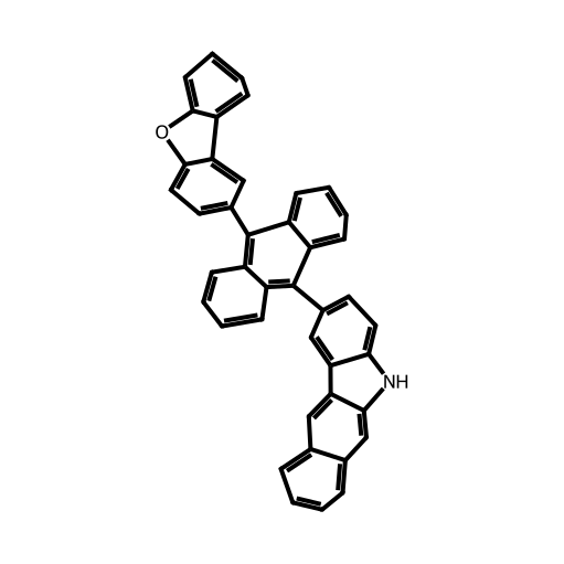 c1ccc2cc3c(cc2c1)[nH]c1ccc(-c2c4ccccc4c(-c4ccc5oc6ccccc6c5c4)c4ccccc24)cc13